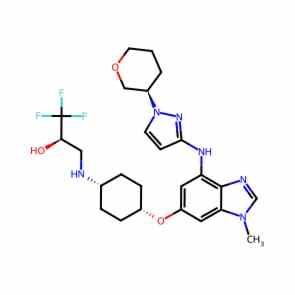 Cn1cnc2c(Nc3ccn([C@@H]4CCCOC4)n3)cc(O[C@H]3CC[C@@H](NC[C@@H](O)C(F)(F)F)CC3)cc21